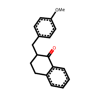 COc1ccc(CC2CCc3ccccc3C2=O)cc1